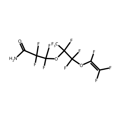 NC(=O)C(F)(F)C(F)(F)OC(F)(C(F)(F)F)C(F)(F)OC(F)=C(F)F